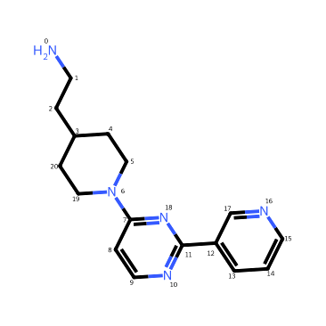 NCCC1CCN(c2ccnc(-c3cccnc3)n2)CC1